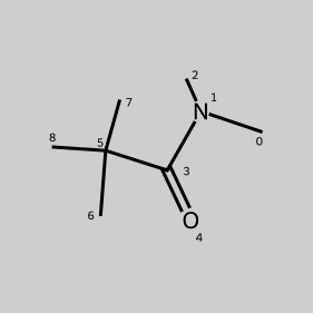 CN(C)C(=O)C(C)(C)C